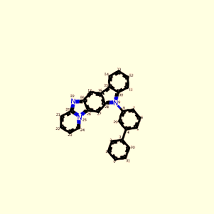 c1ccc(-c2cccc(-n3c4ccccc4c4cc5nc6ccccn6c5cc43)c2)cc1